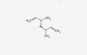 C=CC(C)[N]C(C)C=C